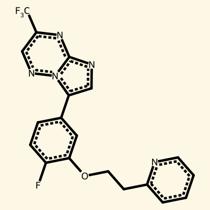 Fc1ccc(-c2cnc3nc(C(F)(F)F)cnn23)cc1OCCc1ccccn1